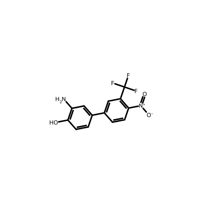 Nc1cc(-c2ccc([N+](=O)[O-])c(C(F)(F)F)c2)ccc1O